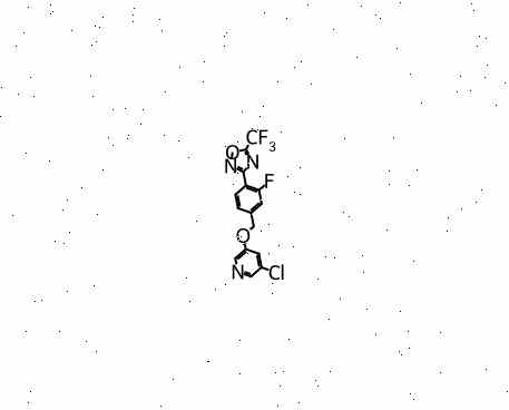 Fc1cc(COc2cncc(Cl)c2)ccc1-c1noc(C(F)(F)F)n1